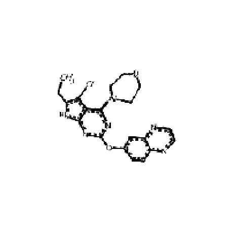 CCc1[nH]c2nc(Oc3ccc4nccnc4c3)nc(N3CCOCC3)c2c1Cl